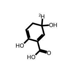 [2H]C1(O)C=C(C(=O)O)C(O)=CC1